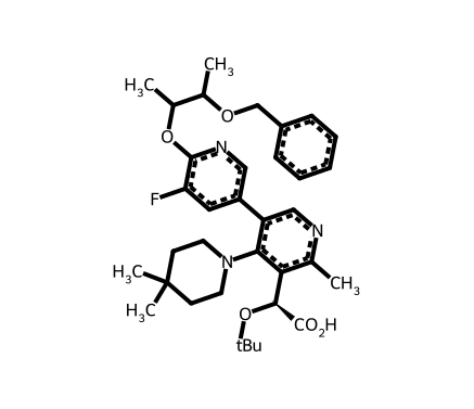 Cc1ncc(-c2cnc(OC(C)C(C)OCc3ccccc3)c(F)c2)c(N2CCC(C)(C)CC2)c1[C@H](OC(C)(C)C)C(=O)O